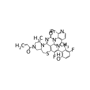 C=CC(=O)N1CC(C)N2c3nc(=O)n(-c4c(C)ccnc4C(C)C)c4nc(-c5c(O)ccc(F)c5F)c(F)c(c34)SCC2C1